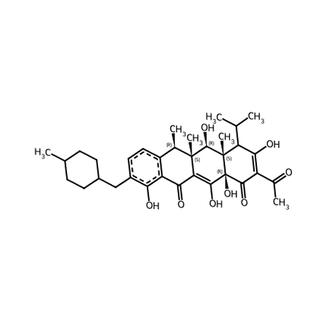 CC(=O)C1=C(O)C(C(C)C)[C@@]2(C)[C@H](O)[C@]3(C)C(=C(O)[C@@]2(O)C1=O)C(=O)c1c(ccc(CC2CCC(C)CC2)c1O)[C@H]3C